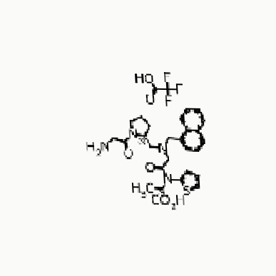 C[C@@H](C(=O)O)N(C(=O)CN(Cc1cccc2ccccc12)C[C@@H]1CCCN1C(=O)CN)c1cccs1.O=C(O)C(F)(F)F